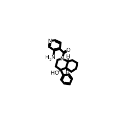 Nc1cnccc1C(=O)N1CC[C@](O)(c2ccccc2)[C@H]2CCCC[C@H]21